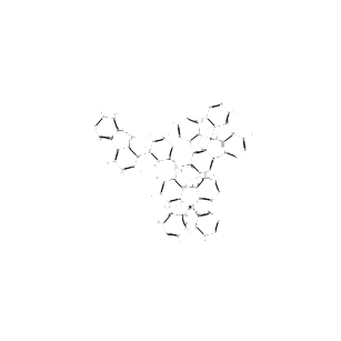 c1ccc(C2(c3ccccc3)c3ccccc3-c3ccc(N(c4cccc(-c5cccc6c5sc5ccccc56)c4)c4cccc5c4-c4ccccc4C5(c4ccccc4)c4ccccc4)cc32)cc1